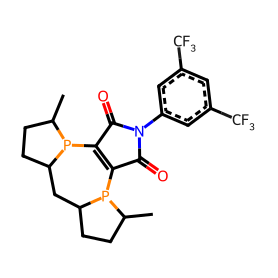 CC1CCC2CC3CCC(C)P3C3=C(C(=O)N(c4cc(C(F)(F)F)cc(C(F)(F)F)c4)C3=O)P12